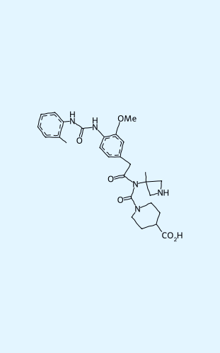 COc1cc(CC(=O)N(C(=O)N2CCC(C(=O)O)CC2)C2(C)CNC2)ccc1NC(=O)Nc1ccccc1C